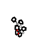 c1ccc(N(c2ccccc2)c2cccc3c2Oc2cccc4c2C3(c2ccccc2)c2ccccc2O4)cc1